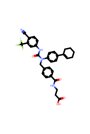 N#Cc1ccc(NC(=O)N(Cc2ccc(C(=O)NCCC(=O)O)cc2)c2ccc(C3=CCCCC3)cc2)cc1C(F)(F)F